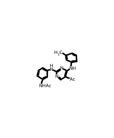 CC(=O)Nc1cccc(Nc2ncc(C(C)=O)c(Nc3cccc(C)c3)n2)c1